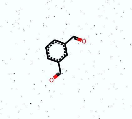 O=[C]c1cccc(C=O)c1